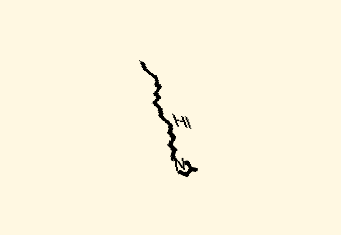 CCCCCCCCCCCCCCCCN1CCC(C)C1.I